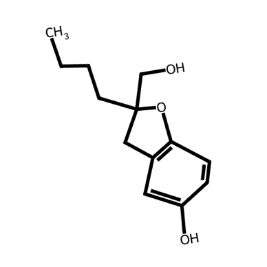 CCCCC1(CO)Cc2cc(O)ccc2O1